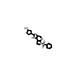 O=S(=O)(c1ccccc1)n1ccc2c3[nH]c(C4CCC(O)C4)nc3cnc21